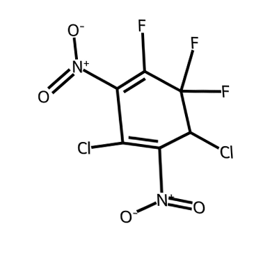 O=[N+]([O-])C1=C(F)C(F)(F)C(Cl)C([N+](=O)[O-])=C1Cl